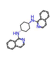 c1ccc2c(N[C@H]3CC[C@H](Nc4nccc5ccccc45)CC3)nccc2c1